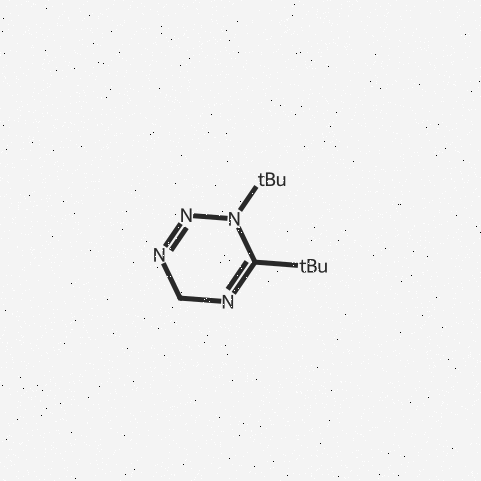 CC(C)(C)C1=NCN=NN1C(C)(C)C